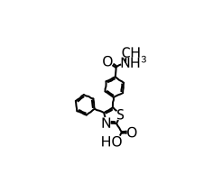 CNC(=O)c1ccc(-c2sc(C(=O)O)nc2-c2ccccc2)cc1